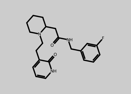 O=C(CC1CCCCN1CCc1ccc[nH]c1=O)NCc1cccc(F)c1